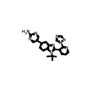 CC(C)(C)n1c(-c2cccnc2-n2cncn2)nc2cc(-c3cnc(N)nc3)ccc21